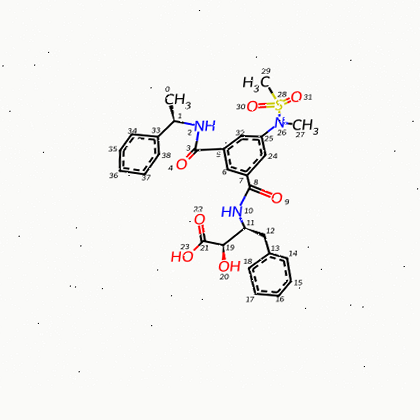 C[C@@H](NC(=O)c1cc(C(=O)N[C@@H](Cc2ccccc2)[C@@H](O)C(=O)O)cc(N(C)S(C)(=O)=O)c1)c1ccccc1